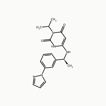 CC(C)n1c(=O)cc(N[C@@H](C)c2cccc(-n3cccn3)c2)[nH]c1=O